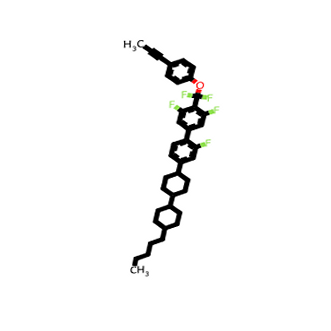 CC#Cc1ccc(OC(F)(F)c2c(F)cc(-c3ccc(C4CCC(C5CCC(CCCCC)CC5)CC4)cc3F)cc2F)cc1